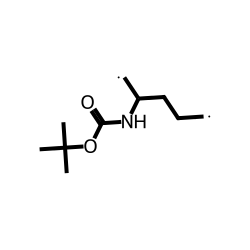 [CH2]CCC([CH2])NC(=O)OC(C)(C)C